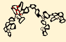 c1ccc2c3ccccc3n(-c3ccccc3-c3ccccc3-c3ccc(N(c4ccc(-c5cccc(-c6ccc7oc8c(-c9cccc(N(c%10ccc(-c%11ccccc%11-c%11ccccc%11-n%11c%12ccccc%12c%12ccccc%12%11)cc%10)c%10ccccc%10-c%10ccc%11ccccc%11c%10)c9)cccc8c7c6)c5)cc4)c4cccc(-c5cccc6c5oc5ccccc56)c4)cc3)c2c#1